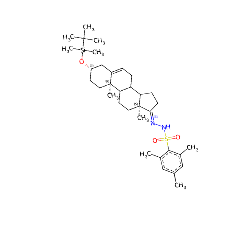 Cc1cc(C)c(S(=O)(=O)N/N=C2\CCC3C4CC=C5C[C@@H](O[Si](C)(C)C(C)(C)C)CC[C@]5(C)C4CC[C@]23C)c(C)c1